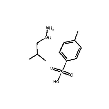 CC(C)CNN.Cc1ccc(S(=O)(=O)O)cc1